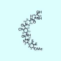 COc1ccc(-c2cnc(C(=O)Nc3ccc(C(=O)N4CCC(NC(=O)[C@@H]5CC(O)=CN5)CC4)c(Cl)c3)n2C)c(F)c1F